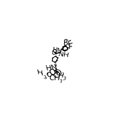 CC(C)(C)OC(=O)NC[C@H]1CC[C@H](C(=O)C(=N)Nc2ccc(F)c(Br)c2)CC1